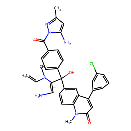 C=CN(C)/C(=C\N)C(O)(c1ccc(C(=O)n2nc(C)cc2N)cc1)c1ccc2c(c1)c(-c1cccc(Cl)c1)cc(=O)n2C